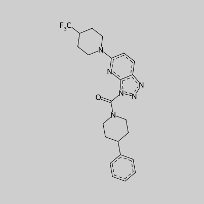 O=C(N1CCC(c2ccccc2)CC1)n1nnc2ccc(N3CCC(C(F)(F)F)CC3)nc21